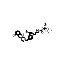 CC(C)(C)OC(=O)NCCCn1cc(Br)c2cc(CN3CCN(Cc4c(Cl)cccc4Cl)CC3)ccc21